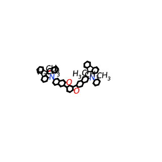 Cc1ccccc1N(c1ccc2cc3c(cc2c1)oc1c3ccc2oc3cc4cc(N(c5ccccc5C)c5cccc6c5C(C)(C)c5ccccc5-6)ccc4cc3c21)c1cccc2c1C(C)(C)c1ccccc1-2